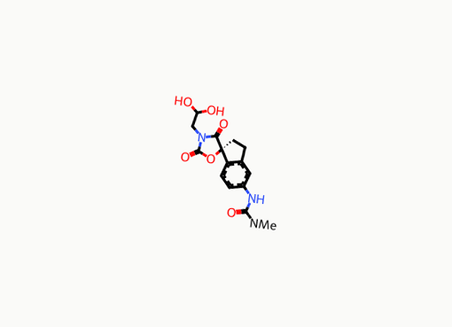 CNC(=O)Nc1ccc2c(c1)CC[C@@]21OC(=O)N(CC(O)O)C1=O